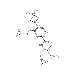 CNC(=O)[C@H](CC1CC1)NC(=O)c1cnc(N2CC(F)(F)C2)c(OCC2CC2)n1